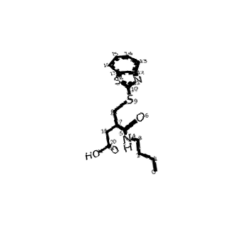 CCCCNC(=O)C(CSc1nc2ccccc2s1)CC(=O)O